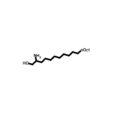 CCCCCCCCCCCCCCCCCC(N)CO